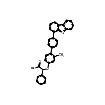 Cc1cc(OC(C(=O)O)c2ccccc2)ccc1-c1ccc(-c2cccc3c2oc2ccccc23)cc1